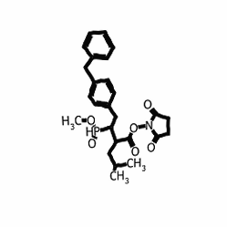 CO[PH](=O)C(Cc1ccc(Cc2ccccc2)cc1)C(CC(C)C)C(=O)ON1C(=O)CCC1=O